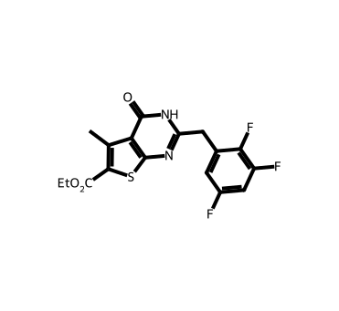 CCOC(=O)c1sc2nc(Cc3cc(F)cc(F)c3F)[nH]c(=O)c2c1C